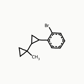 CC1(C2CC2c2ccccc2Br)CC1